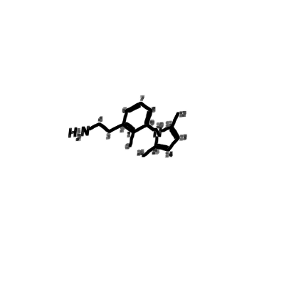 Cc1c(CCN)cccc1-n1c(C)ccc1C